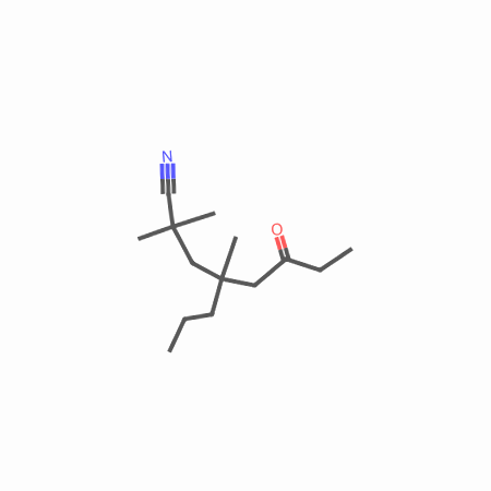 CCCC(C)(CC(=O)CC)CC(C)(C)C#N